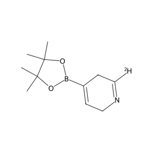 [2H]C1=NCC=C(B2OC(C)(C)C(C)(C)O2)C1